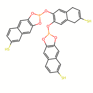 SC1=CCc2cc(OP3Oc4cc5ccc(S)cc5cc4O3)c(OP3Oc4cc5ccc(S)cc5cc4O3)cc2C1